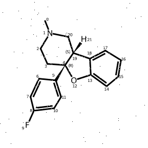 CN1CC[C@@]2(c3ccc(F)cc3)Oc3ccccc3[C@H]2C1